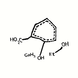 CCO.O=C(O)c1ccccc1O.[GaH3]